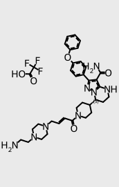 NCCN1CCN(CC=CC(=O)N2CCC([C@@H]3CCNc4c(C(N)=O)c(-c5ccc(Oc6ccccc6)cc5)nn43)CC2)CC1.O=C(O)C(F)(F)F